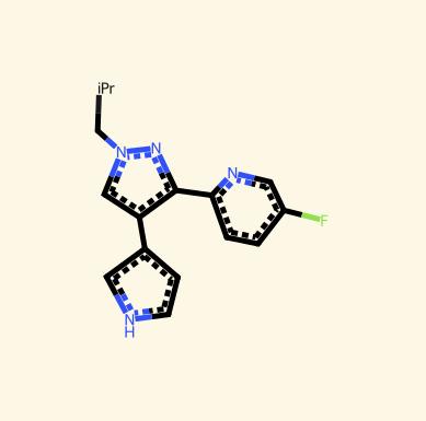 CC(C)Cn1cc(-c2cc[nH]c2)c(-c2ccc(F)cn2)n1